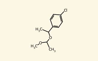 COC(C)OC(C)c1ccc(Cl)cc1